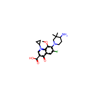 COc1c(N2CCC(N)C(C)(C)C2)c(F)cc2c(=O)c(C(=O)O)cn(C3CC3)c12